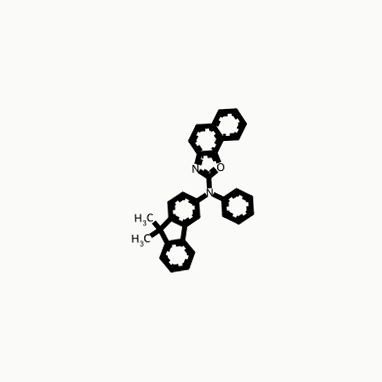 CC1(C)c2ccccc2-c2cc(N(c3ccccc3)c3nc4ccc5ccccc5c4o3)ccc21